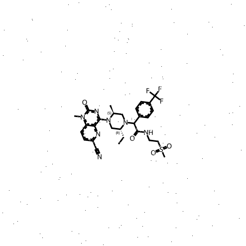 CC[C@@H]1CN(c2nc(=O)n(C)c3ccc(C#N)nc23)[C@@H](C)CN1C(C(=O)NCCS(C)(=O)=O)c1ccc(C(F)(F)F)cc1